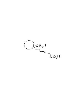 O=C(O)CCCCCCC1(C(=O)O)CCCCCCCC1